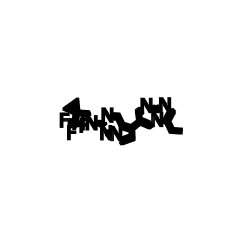 CCc1cnc2ncc(-c3ccn4nc(NCC5(C(F)(F)F)CC5)ncc34)cn12